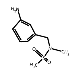 CN(Cc1cccc(N)c1)S(C)(=O)=O